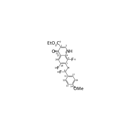 CCOC(=O)c1c[nH]c2c(F)c(CC(F)c3ccc(OC)cc3)c(F)cc2c1=O